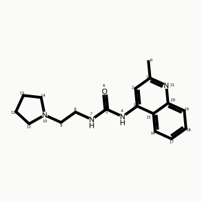 Cc1cc(NC(=O)NCCN2C[CH]CC2)c2ccccc2n1